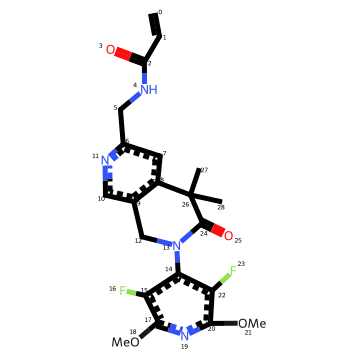 C=CC(=O)NCc1cc2c(cn1)CN(c1c(F)c(OC)nc(OC)c1F)C(=O)C2(C)C